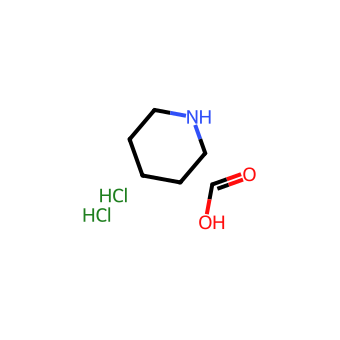 C1CCNCC1.Cl.Cl.O=CO